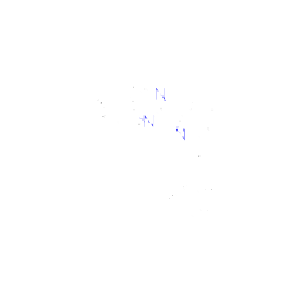 c1ccc(CCc2cccc(-c3ncc4ccccc4n3)n2)cc1